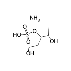 CC(O)C(CCO)OS(=O)(=O)O.N